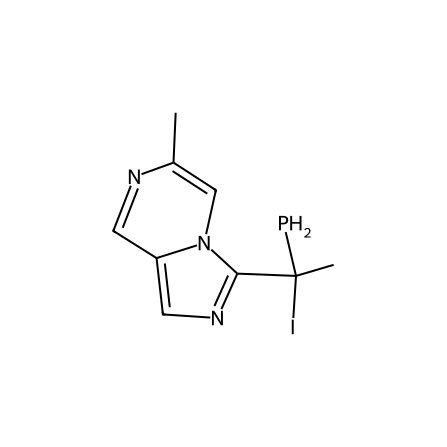 Cc1cn2c(C(C)(P)I)ncc2cn1